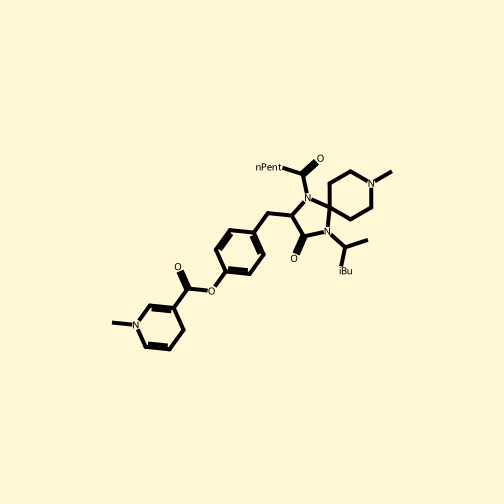 CCCCCC(=O)N1C(Cc2ccc(OC(=O)C3=CN(C)C=CC3)cc2)C(=O)N(C(C)C(C)CC)C12CCN(C)CC2